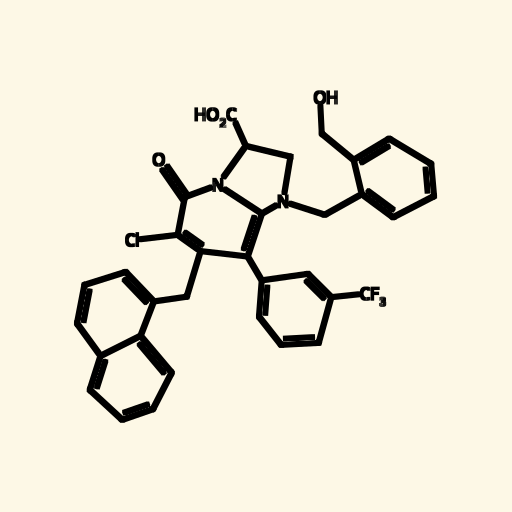 O=C(O)C1CN(Cc2ccccc2CO)c2c(-c3cccc(C(F)(F)F)c3)c(Cc3cccc4ccccc34)c(Cl)c(=O)n21